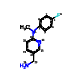 CN(c1ccc(F)cc1)c1ccc(CN)cn1